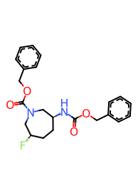 O=C(N[C@H]1CC[C@@H](F)CN(C(=O)OCc2ccccc2)C1)OCc1ccccc1